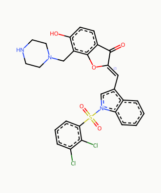 O=C1/C(=C/c2cn(S(=O)(=O)c3cccc(Cl)c3Cl)c3ccccc23)Oc2c1ccc(O)c2CN1CCNCC1